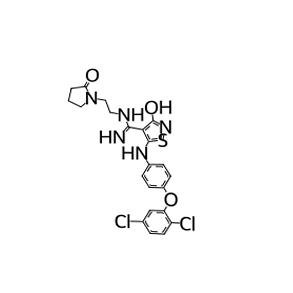 N=C(NCCN1CCCC1=O)c1c(O)nsc1Nc1ccc(Oc2cc(Cl)ccc2Cl)cc1